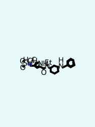 CCN(C(=O)c1cc(/C=C(\C)[SH](=O)=O)c(C)[nH]1)C1CCCC(NCc2ccccc2)C1